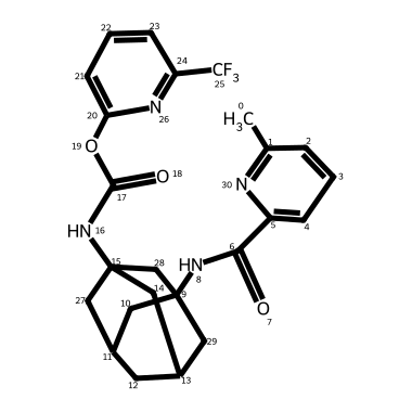 Cc1cccc(C(=O)NC23CC4CC(CC(NC(=O)Oc5cccc(C(F)(F)F)n5)(C4)C2)C3)n1